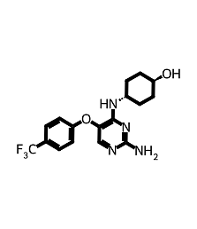 Nc1ncc(Oc2ccc(C(F)(F)F)cc2)c(N[C@H]2CC[C@H](O)CC2)n1